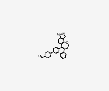 O=CC1CCN(c2ccc(C3=C(c4ccccc4)CCOc4c3ccc3[nH]ncc43)cc2)CC1